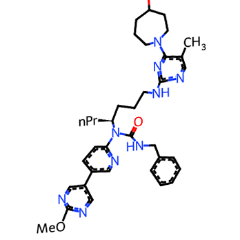 CCC[C@@H](CCCNc1ncc(C)c(N2CCCC(O)CC2)n1)N(C(=O)NCc1ccccc1)c1ccc(-c2cnc(OC)nc2)cn1